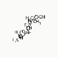 Cc1cc(C(F)(F)F)nn1CC(=O)Nc1cnc(-n2cnc(C(C)(C)N3CCC(O)C3)c2)c(F)c1